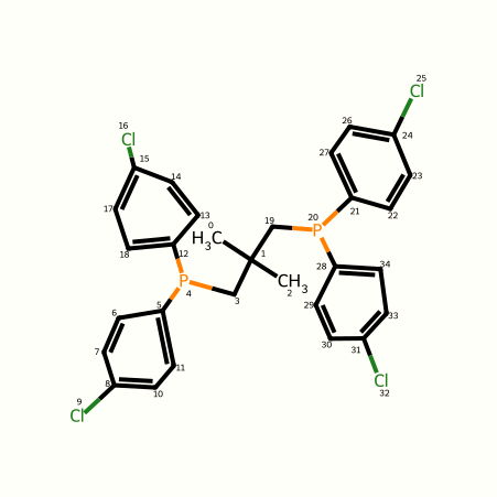 CC(C)(CP(c1ccc(Cl)cc1)c1ccc(Cl)cc1)CP(c1ccc(Cl)cc1)c1ccc(Cl)cc1